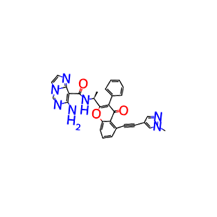 C[C@H](NC(=O)c1c(N)ncn2ccnc12)c1oc2cccc(C#Cc3cnn(C)c3)c2c(=O)c1-c1ccccc1